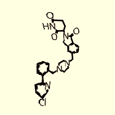 O=C1CCC(N2Cc3cc(CN4CCN(Cc5ccccc5-c5ccc(Cl)cn5)CC4)ccc3C2=O)C(=O)N1